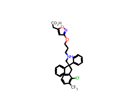 O=C(O)Cc1cc(OCCCNCC(Cc2cccc(C(F)(F)F)c2Cl)(c2ccccc2)c2ccccc2)no1